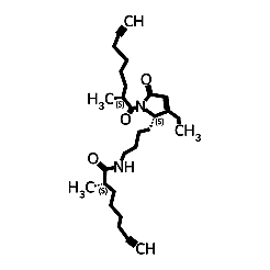 C#CCCCC[C@H](C)C(=O)NCCCC[C@H]1C(CC)=CC(=O)N1C(=O)[C@@H](C)CCCCC#C